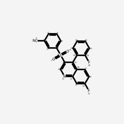 N#Cc1cccc(S(=O)(=O)c2cnc3cc(F)ccc3c2-c2ccccc2F)c1